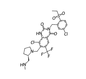 CCS(=O)(=O)c1ccc(Cl)cc1Cn1c(=O)[nH]c2c(Cl)c(CN3CCC[C@@H]3CNC)c(C(F)(F)F)cc2c1=O